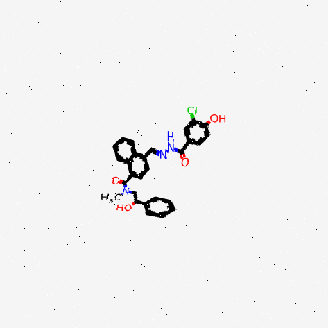 CN(CC(O)c1ccccc1)C(=O)c1ccc(/C=N/NC(=O)c2ccc(O)c(Cl)c2)c2ccccc12